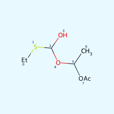 CCSC(O)OC(C)OC(C)=O